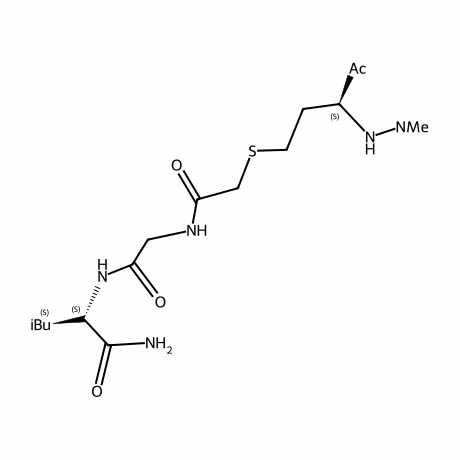 CC[C@H](C)[C@H](NC(=O)CNC(=O)CSCC[C@H](NNC)C(C)=O)C(N)=O